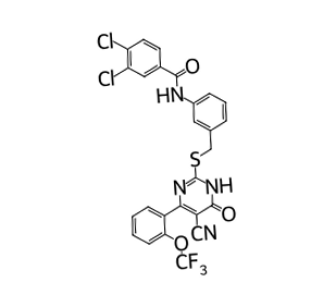 N#Cc1c(-c2ccccc2OC(F)(F)F)nc(SCc2cccc(NC(=O)c3ccc(Cl)c(Cl)c3)c2)[nH]c1=O